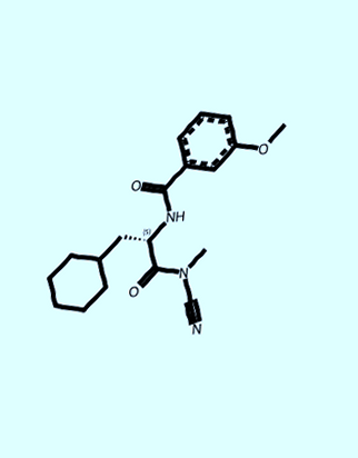 COc1cccc(C(=O)N[C@@H](CC2CCCCC2)C(=O)N(C)C#N)c1